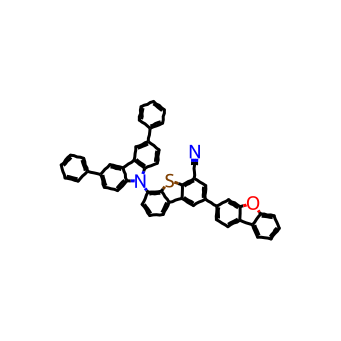 N#Cc1cc(-c2ccc3c(c2)oc2ccccc23)cc2c1sc1c(-n3c4ccc(-c5ccccc5)cc4c4cc(-c5ccccc5)ccc43)cccc12